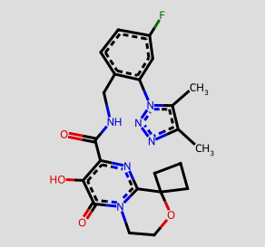 Cc1nnn(-c2cc(F)ccc2CNC(=O)c2nc3n(c(=O)c2O)CCOC32CCC2)c1C